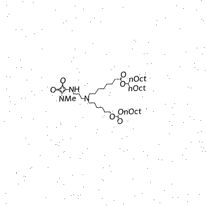 CCCCCCCCOC(=O)OCCCCCCN(CCCCCCCC(=O)OC(CCCCCCCC)CCCCCCCC)CCCNc1c(NC)c(=O)c1=O